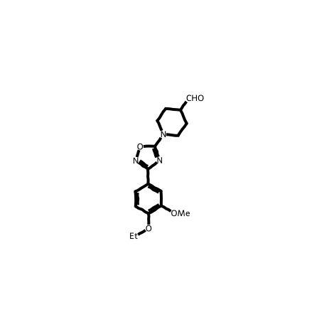 CCOc1ccc(-c2noc(N3CCC(C=O)CC3)n2)cc1OC